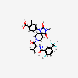 Cc1cc(N2C(=O)N(C)C(=O)C23CCN(C(=O)[C@H](NC(=O)c2cc(C(F)(F)F)ccc2F)C(C)C)CC3)ccc1C(=O)O